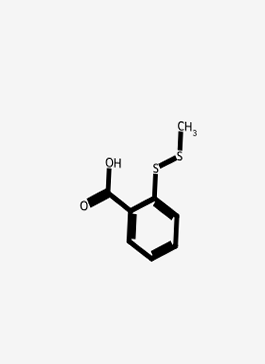 CSSc1ccccc1C(=O)O